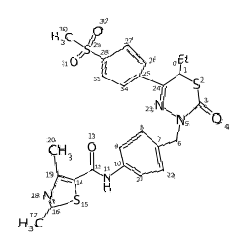 CCC1SC(=O)N(Cc2ccc(NC(=O)c3sc(C)nc3C)cc2)N=C1c1ccc(S(C)(=O)=O)cc1